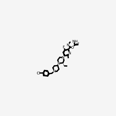 C=C(N)O/C(=N\C)c1nc(C)c(N2CCN(C3CCN(Cc4ccc(Cl)cc4)CC3)[C@@H](CC)C2)cc1F